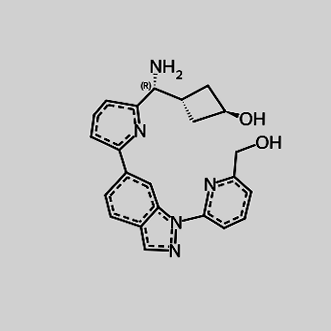 N[C@@H](c1cccc(-c2ccc3cnn(-c4cccc(CO)n4)c3c2)n1)[C@H]1C[C@H](O)C1